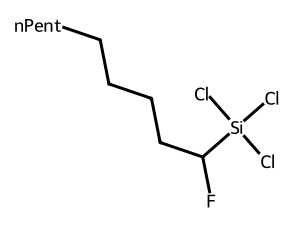 CCCCCCCCCC(F)[Si](Cl)(Cl)Cl